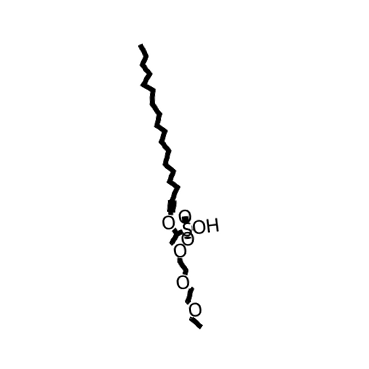 CCCCCCCCCCCCCCCCC#COC(COCCOCCOCC)S(=O)(=O)O